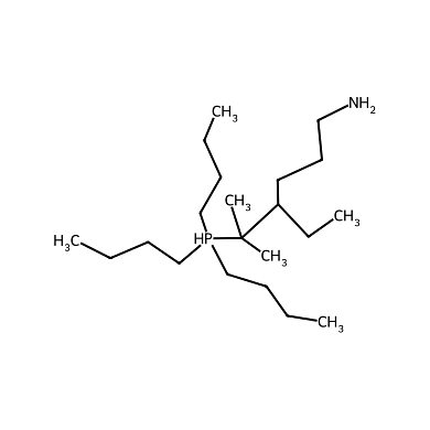 CCCC[PH](CCCC)(CCCC)C(C)(C)C(CC)CCCN